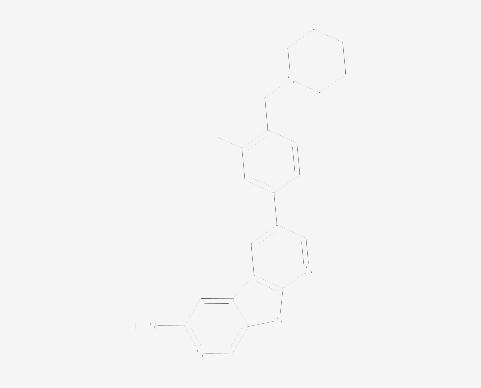 Nc1cc2c(cn1)[nH]c1ncc(-c3ccc(CN4CCCCC4)c(F)c3)cc12